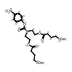 CCCCCCCCCCCCCC(=O)OCCN(CCOC(=O)CCCCCCCCCCCCC)C(=O)Oc1ccc([N+](=O)[O-])cc1